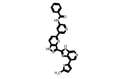 Cc1ccc(-c2cncc3[nH]c(-c4n[nH]c5ccc(-c6cncc(NC(=O)c7ccccc7)c6)nc45)nc23)s1